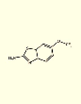 NC1=NC2C=CC(OC(F)(F)F)=CC2S1